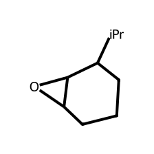 CC(C)C1CCCC2OC21